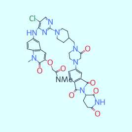 CNC(=O)COc1cc2cc(Nc3nc(N4CCC(CN5CCN(c6ccc7c(c6)C(=O)N(C6CCC(=O)NC6=O)C7=O)CC5=O)CC4)ncc3Cl)ccc2n(C)c1=O